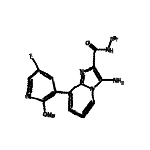 CCCNC(=O)c1nc2c(-c3cc(F)cnc3OC)cccn2c1N